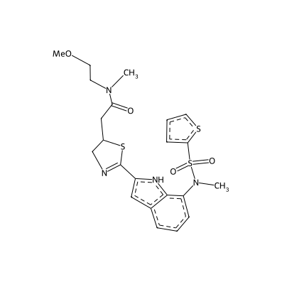 COCCN(C)C(=O)CC1CN=C(c2cc3cccc(N(C)S(=O)(=O)c4cccs4)c3[nH]2)S1